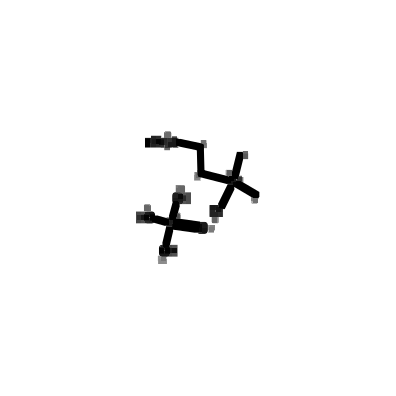 CCCCCCCCC[N+](C)(C)CC.O=P(O)(O)O